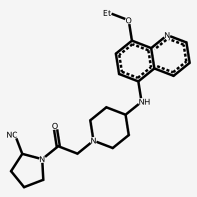 CCOc1ccc(NC2CCN(CC(=O)N3CCCC3C#N)CC2)c2cccnc12